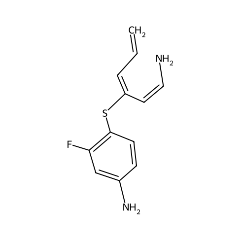 C=C/C=C(\C=C/N)Sc1ccc(N)cc1F